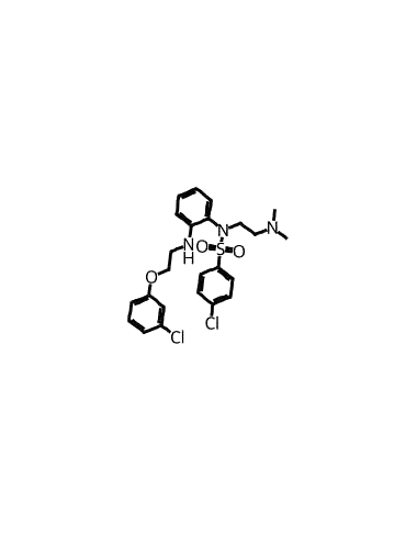 CN(C)CCN(c1ccccc1NCCOc1cccc(Cl)c1)S(=O)(=O)c1ccc(Cl)cc1